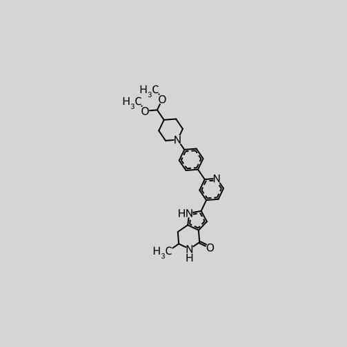 COC(OC)C1CCN(c2ccc(-c3cc(-c4cc5c([nH]4)CC(C)NC5=O)ccn3)cc2)CC1